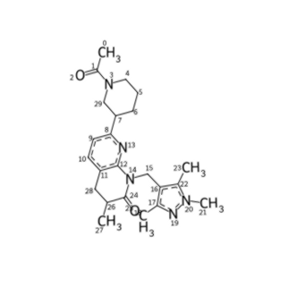 CC(=O)N1CCCC(c2ccc3c(n2)N(Cc2c(C)nn(C)c2C)C(=O)C(C)C3)C1